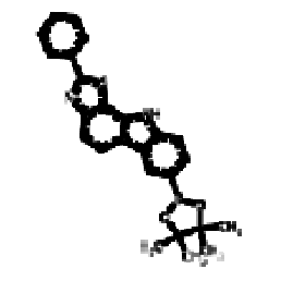 CC1(C)OB(c2ccc3[nH]c4c(ccc5nc(-c6ccccc6)sc54)c3c2)OC1(C)C